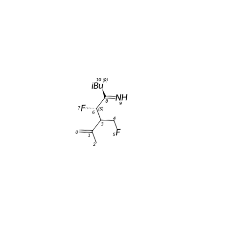 C=C(C)C(CF)[C@H](F)C(=N)[C@H](C)CC